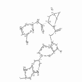 CC(=O)c1cn(CC(=O)N2C3C[C@@H]3C[C@H]2C(=O)Nc2cncc(Br)n2)c2ccc(-c3cnc4cc(C)nn4c3)cc12